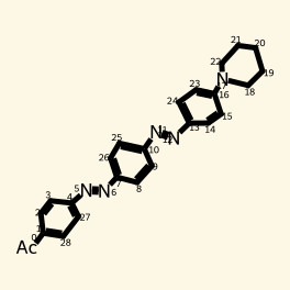 CC(=O)c1ccc(N=Nc2ccc(N=Nc3ccc(N4CCCCC4)cc3)cc2)cc1